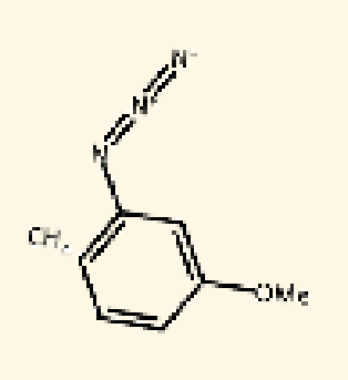 C.COc1cccc(N=[N+]=[N-])c1